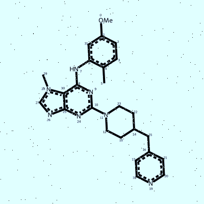 COc1ccc(C)c(Nc2nc(N3CCC(Cc4ccncc4)CC3)nc3ncn(C)c23)c1